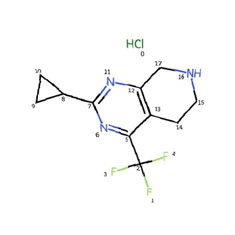 Cl.FC(F)(F)c1nc(C2CC2)nc2c1CCNC2